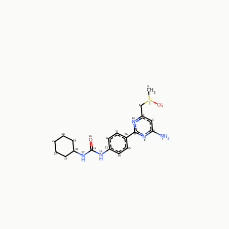 C[S+]([O-])Cc1cc(N)nc(-c2ccc(NC(=O)NC3CCCCC3)cc2)n1